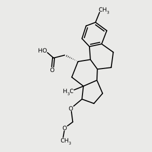 COCOC1CCC2C3CCc4cc(C)ccc4C3[C@@H](CC(=O)O)CC12C